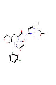 Cc1cc(NC(=O)C(CC2CCOCC2)n2ncc(Oc3c(F)cccc3F)cc2=O)nn1CC(C)O